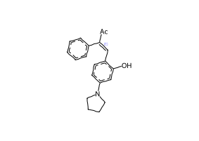 CC(=O)/C(=C/c1ccc(N2CCCC2)cc1O)c1ccccc1